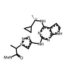 CNC(=O)C(C)n1cc(Nc2nc(N[C@@H](C)C3CC3)c3cc[nH]c3n2)nn1